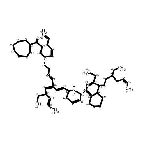 C=CC/C=C\[C@H](CC/N=C/C(/C=C/C1CC=C[C@@H](C2=C3CCCCC3C(CCC(CC)C/C=C\C)C(CC)=N2)N1)=C/C(C=CC)CC)CCC(=N)C1=CCCCCCC1